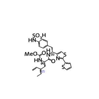 C=C/C(=C\C)C[C@@H](NC(=O)OC)C(=O)N[C@@H](Cc1ccc(NS(=O)(=O)O)cc1)c1csc(-c2cccs2)n1